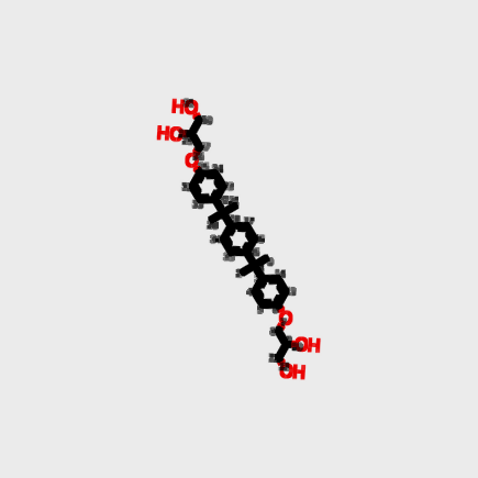 CC(C)(c1ccc(OCC(O)CO)cc1)c1ccc(C(C)(C)c2ccc(OCC(O)CO)cc2)cc1